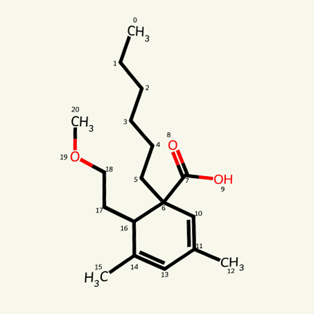 CCCCCCC1(C(=O)O)C=C(C)C=C(C)C1CCOC